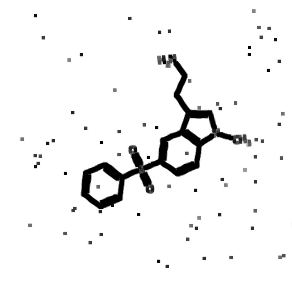 Cn1cc(CCN)c2cc(S(=O)(=O)c3ccccc3)ccc21